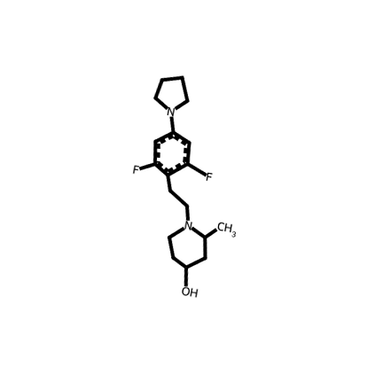 CC1CC(O)CCN1CCc1c(F)cc(N2CCCC2)cc1F